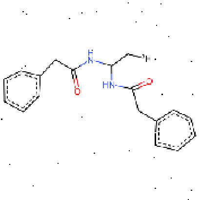 [2H]CC(NC(=O)Cc1ccccc1)NC(=O)Cc1ccccc1